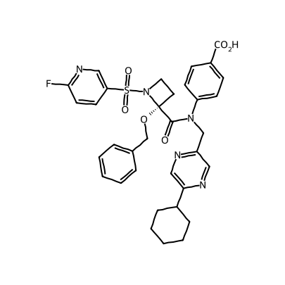 O=C(O)c1ccc(N(Cc2cnc(C3CCCCC3)cn2)C(=O)[C@]2(OCc3ccccc3)CCN2S(=O)(=O)c2ccc(F)nc2)cc1